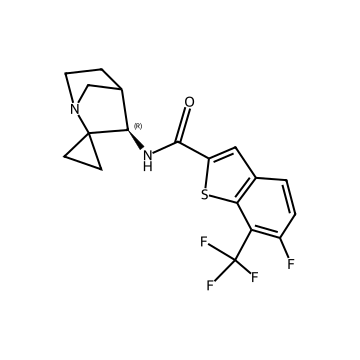 O=C(N[C@@H]1C2CCN(C2)C12CC2)c1cc2ccc(F)c(C(F)(F)F)c2s1